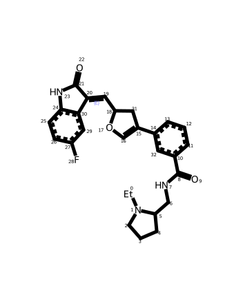 CCN1CCCC1CNC(=O)c1cccc(C2=COC(/C=C3/C(=O)Nc4ccc(F)cc43)C2)c1